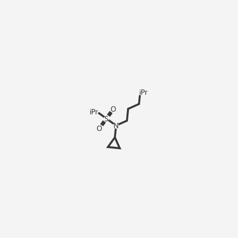 CC(C)CCCN(C1CC1)S(=O)(=O)C(C)C